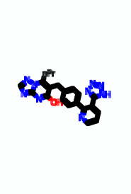 CCCc1c(Cc2ccc(-c3ncccc3-c3nnn[nH]3)cc2)c(O)nc2ncnn12